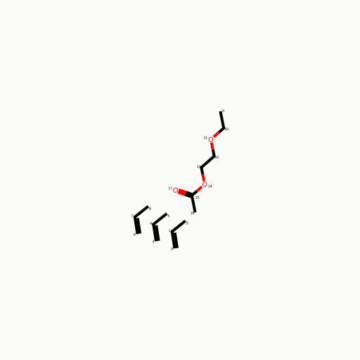 C=CC.C=CC.C=CC.CCOCCOC(C)=O